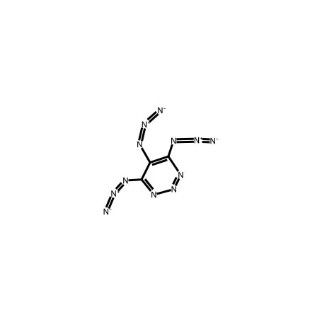 [N-]=[N+]=Nc1nnnc(N=[N+]=[N-])c1N=[N+]=[N-]